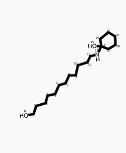 OCCCCCCCCCCCCNC1(O)CCCCC1